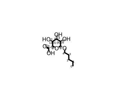 CCCCCO[C@@H]1O[C@H](C(=O)O)[C@@H](O)[C@H](O)[C@H]1O